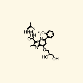 CC1=CNC(NC(=O)c2c(C)nc3c(OC[C@H](O)CO)cc(-c4ccccc4C(F)(F)F)nn23)S1